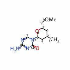 COC[C@@H]1CC(C)CC(n2cnc(N)nc2=O)O1